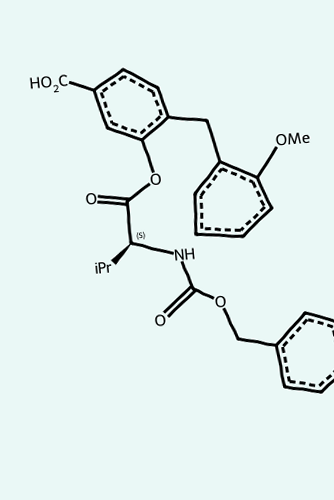 COc1ccccc1Cc1ccc(C(=O)O)cc1OC(=O)[C@@H](NC(=O)OCc1ccccc1)C(C)C